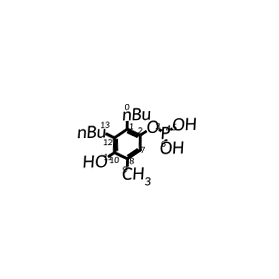 CCCCc1c(OP(O)O)cc(C)c(O)c1CCCC